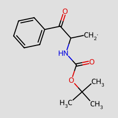 [CH2]C(NC(=O)OC(C)(C)C)C(=O)c1ccccc1